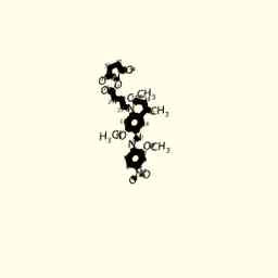 COc1cc([N+](=O)[O-])ccc1/N=N/c1cc2c(cc1OC)N(CCCC(=O)ON1C(=O)CCC1=O)C(C)(C)CC2C